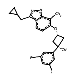 Cc1c(O[C@H]2C[C@](C#N)(c3cc(F)cc(F)c3)C2)ccn2c(CC3CC3)nnc12